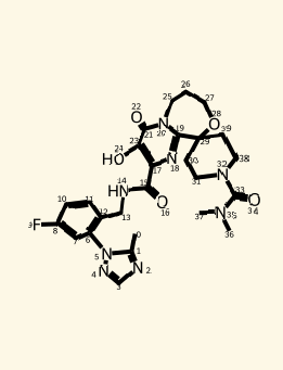 Cc1ncnn1-c1cc(F)ccc1CNC(=O)c1nc2n(c(=O)c1O)CCCOC21CCN(C(=O)N(C)C)CC1